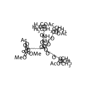 COc1ccc(C(OC[C@@H]2C[C@@H](OC(=O)CCC(C)=O)CN2C(=O)CCCCCCCCCCC(=O)CC(COCCC(=O)CCCCCC(=O)CCCCOC2OC(COC(C)=O)C(C)C(C)C2C)(COCCC(=O)CCCCCC(=O)CCCCOC2OC(COC(C)=O)C(C)C(C)C2C)COCCC(=O)NCCCNC(=O)CCCCOC2OC(COC(C)=O)C(C)C(C)C2C)(c2ccccc2)c2ccc(OC)cc2)cc1